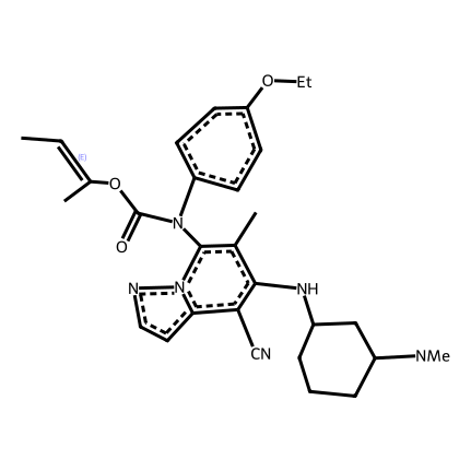 C/C=C(\C)OC(=O)N(c1ccc(OCC)cc1)c1c(C)c(NC2CCCC(NC)C2)c(C#N)c2ccnn12